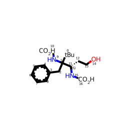 CC(C)(C)C(Cc1ccccc1)(NC(=O)O)[C@H](CCO)NC(=O)O